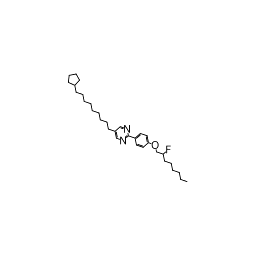 CCCCCCC(F)COc1ccc(-c2ncc(CCCCCCCCCC3CCCC3)cn2)cc1